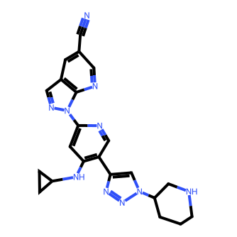 N#Cc1cnc2c(cnn2-c2cc(NC3CC3)c(-c3cn(C4CCCNC4)nn3)cn2)c1